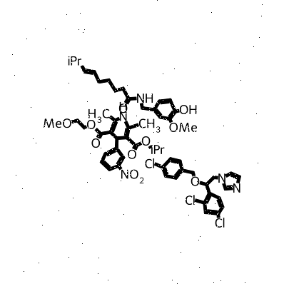 COCCOC(=O)C1=C(C)NC(C)=C(C(=O)OC(C)C)C1c1cccc([N+](=O)[O-])c1.COc1cc(CNC(=O)CCCC/C=C/C(C)C)ccc1O.Clc1ccc(COC(Cn2ccnc2)c2ccc(Cl)cc2Cl)cc1